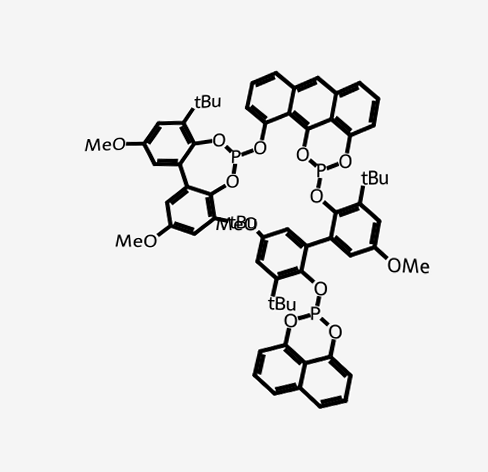 COc1cc(-c2cc(OC)cc(C(C)(C)C)c2OP2Oc3cccc4cc5cccc(Op6oc7c(C(C)(C)C)cc(OC)cc7c7cc(OC)cc(C(C)(C)C)c7o6)c5c(c34)O2)c(OP2Oc3cccc4cccc(c34)O2)c(C(C)(C)C)c1